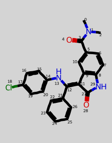 CN(C)C(=O)c1ccc2c(c1)C(=C(Nc1ccc(Cl)cc1)c1ccccc1)C(=O)N2